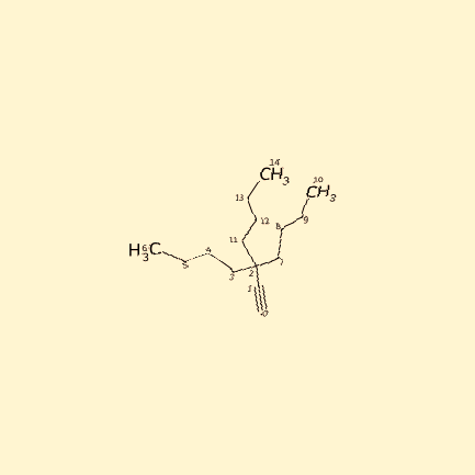 [C]#CC(CCCC)(CCCC)CCCC